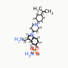 CC(C)C1CCC(N2CCC(n3cc(CN)c4cc(OS(N)(=O)=O)ccc43)CC2)CC1